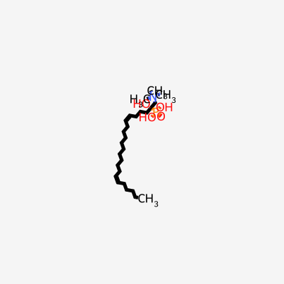 CCCCC/C=C\CCCCCCCCC/C=C\CCCC(O)(C[N+](C)(C)C)P(=O)(O)O